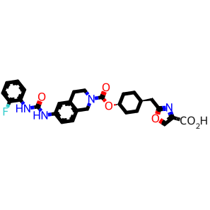 O=C(Nc1ccc2c(c1)CCN(C(=O)O[C@H]1CC[C@H](Cc3nc(C(=O)O)co3)CC1)C2)Nc1ccccc1F